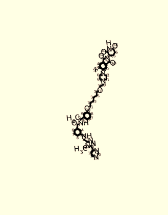 C[C@@H](NC(=O)c1cccc(NCc2nnc(-c3ccncn3)n2C)c1)c1cccc(OCCCCCCOCCN2CCN(c3cc4c(cc3F)C(=O)N(C3CCC(=O)NC3=O)C4=O)CC2)c1